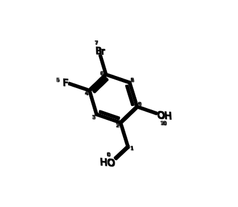 OCc1cc(F)c(Br)cc1O